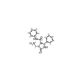 NCC1C(=O)NC(c2ccccc2)N1C(=O)Nc1ccccc1